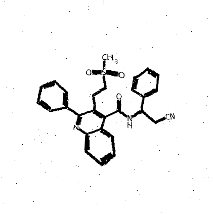 CS(=O)(=O)CCc1c(-c2ccccc2)nc2ccccc2c1C(=O)NC(CC#N)c1ccccc1